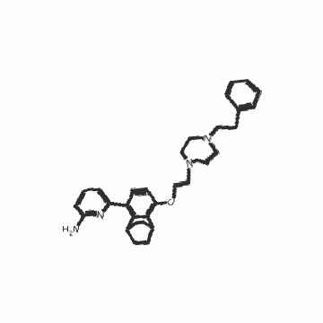 Nc1cccc(-c2ccc(OCCN3CCN(CCc4ccccc4)CC3)c3c2C2CCC3CC2)n1